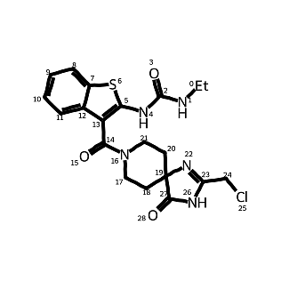 CCNC(=O)Nc1sc2ccccc2c1C(=O)N1CCC2(CC1)N=C(CCl)NC2=O